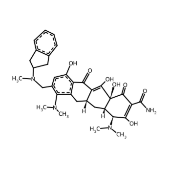 CN(C)c1c(CN(C)C2Cc3ccccc3C2)cc(O)c2c1C[C@H]1C[C@H]3[C@H](N(C)C)C(O)=C(C(N)=O)C(=O)[C@@]3(O)C(O)=C1C2=O